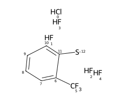 Cl.F.F.F.F.FC(F)(F)c1ccccc1[S]